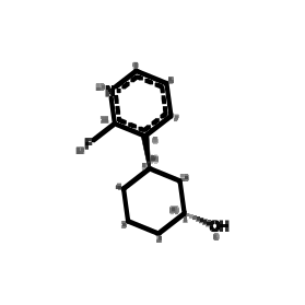 O[C@@H]1CCC[C@@H](c2cccnc2F)C1